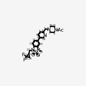 CC(=O)N1CCN(Cc2ccc(-c3ccc4c(c3)N(C)S(=O)(=O)N4CC3CC3(F)F)cn2)CC1